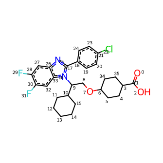 O=C(O)C1CCC(OCC(C2CCCCC2)n2c(-c3ccc(Cl)cc3)nc3cc(F)c(F)cc32)CC1